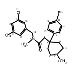 CN1CCC(CC(=O)N(C)Cc2cc(Cl)cc(Cl)c2)(c2ccc(F)cc2)CC1